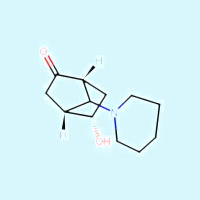 O=C1C[C@@H]2C(N3CCCCC3)[C@H]1C[C@@H]2O